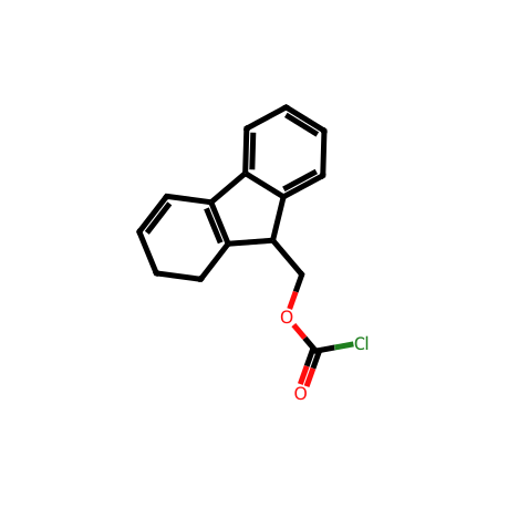 O=C(Cl)OCC1C2=C(C=CCC2)c2ccccc21